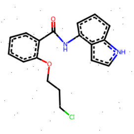 O=C(Nc1cccc2[nH]ccc12)c1ccccc1OCCCCl